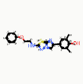 Cc1cc(-c2cn3nc(NCCOc4ccccc4)sc3n2)cc(C)c1O